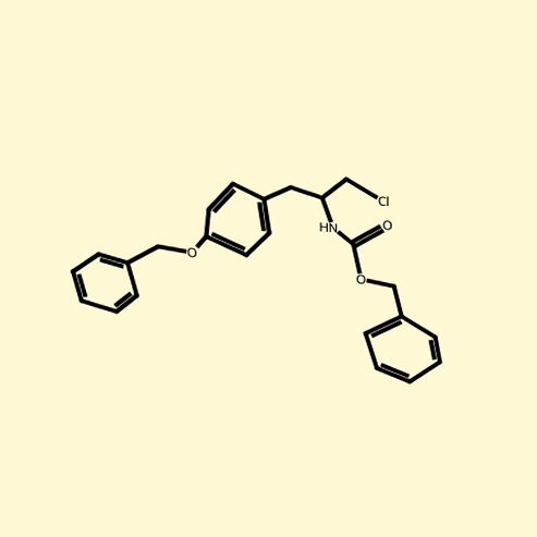 O=C(NC(CCl)Cc1ccc(OCc2ccccc2)cc1)OCc1ccccc1